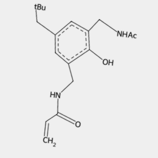 C=CC(=O)NCc1cc(CC(C)(C)C)cc(CNC(C)=O)c1O